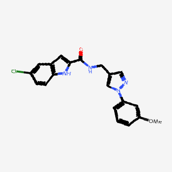 COc1cccc(-n2cc(CNC(=O)c3cc4cc(Cl)ccc4[nH]3)cn2)c1